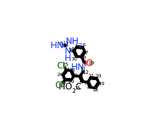 N=C(N)Nc1cccc(C(=O)NCC(=C(C(=O)O)c2ccccc2)c2cc(Cl)cc(Cl)c2)c1